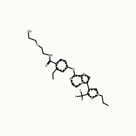 CCCn1cc(-c2cnc3c(Oc4ccc(C(=O)NCCOCCO)c(CC)c4)nccn23)c(C(F)(F)F)n1